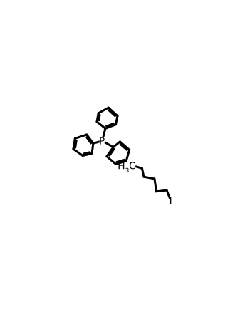 CCCCCCI.c1ccc(P(c2ccccc2)c2ccccc2)cc1